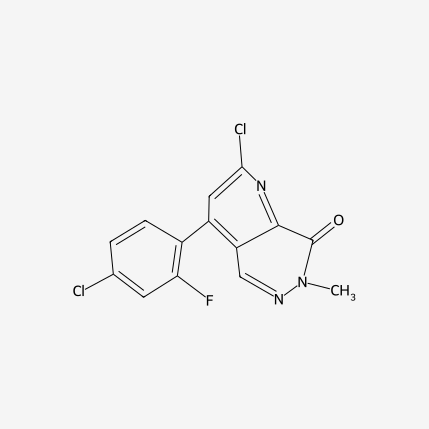 Cn1ncc2c(-c3ccc(Cl)cc3F)cc(Cl)nc2c1=O